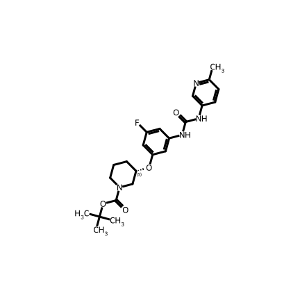 Cc1ccc(NC(=O)Nc2cc(F)cc(O[C@H]3CCCN(C(=O)OC(C)(C)C)C3)c2)cn1